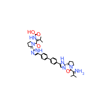 CC(C)[C@H](N)C(=O)N1CCC[C@H]1c1ncc(-c2ccc(-c3ccc(-c4cnc([C@@H]5CCCN5C(=O)[C@@H](NC(=O)O)C(C)C)[nH]4)cc3)cc2)[nH]1